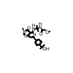 COCC(=O)NC(C)(C)Nc1nc(-c2ccc(C(C)(C)O)cc2)cc2ncn(C)c(=O)c12